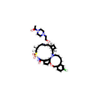 CC(=O)N1CCN(CCO[C@H]2/C=C/C[C@H](C)[C@@H](C)S(=O)(=O)NC(=O)c3ccc4c(c3)N(CCCCc3cc(Cl)ccc3CO4)C[C@@H]3CC[C@H]32)CC1